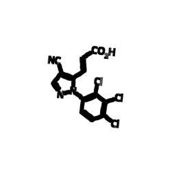 N#Cc1cnn(-c2ccc(Cl)c(Cl)c2Cl)c1C=CC(=O)O